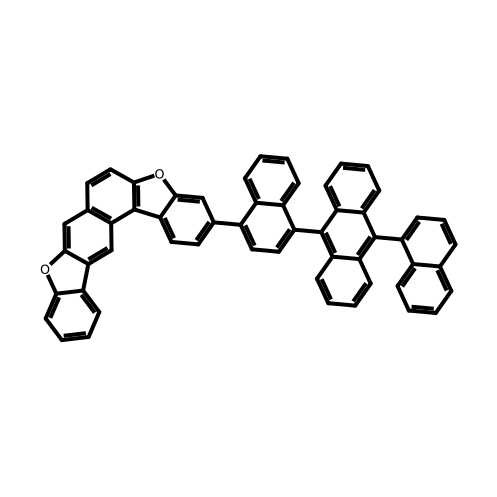 c1ccc2c(-c3c4ccccc4c(-c4ccc(-c5ccc6c(c5)oc5ccc7cc8oc9ccccc9c8cc7c56)c5ccccc45)c4ccccc34)cccc2c1